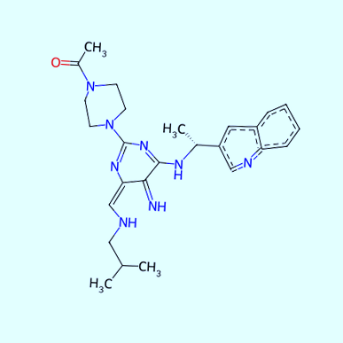 CC(=O)N1CCN(C2=N/C(=C/NCC(C)C)C(=N)C(N[C@H](C)c3cnc4ccccc4c3)=N2)CC1